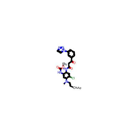 COCCN(C)c1cc(NC(=O)OC(C)(C)C)c(NC(=O)CC(=O)c2cccc(-n3ccnn3)c2)cc1Cl